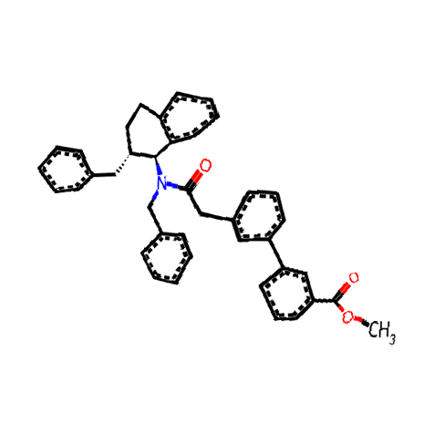 COC(=O)c1cccc(-c2cccc(CC(=O)N(Cc3ccccc3)[C@@H]3c4ccccc4CC[C@H]3Cc3ccccc3)c2)c1